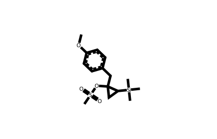 COc1ccc(CC2(OS(C)(=O)=O)CC2[Si](C)(C)C)cc1